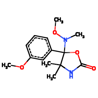 COc1cccc(C2(N(C)OC)OC(=O)NC2(C)C)c1